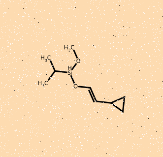 CO[SiH](OC=CC1CC1)C(C)C